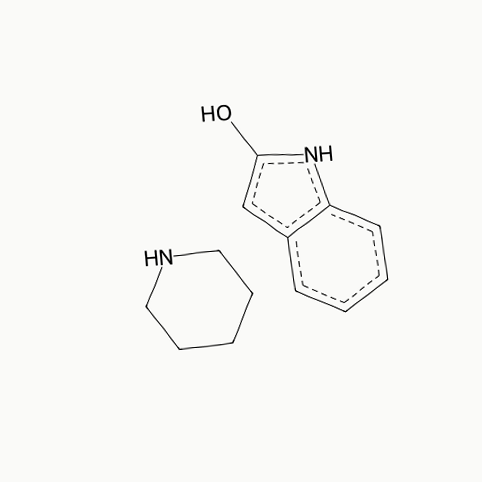 C1CCNCC1.Oc1cc2ccccc2[nH]1